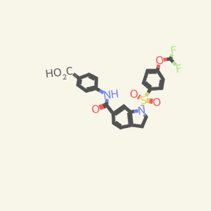 O=C(O)c1ccc(NC(=O)c2ccc3c(c2)N(S(=O)(=O)c2ccc(OC(F)F)cc2)CC3)cc1